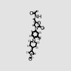 CC(=O)NCC1CN(c2ccc(N3CCC(C4C[S+]([O-])C4)CC3)c(F)c2)C(=O)O1